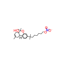 CC1=CC[C@@]2(O)[C@H](C1)c1ccc(C(C)(C)CCCCCCO[N+](=O)[O-])cc1OC2(C)C